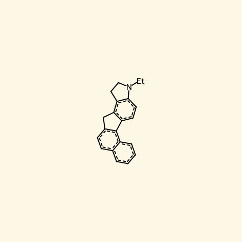 CCN1CCc2c1ccc1c2Cc2ccc3ccccc3c2-1